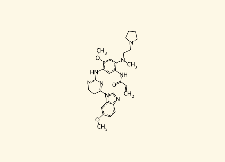 C=CC(=O)Nc1cc(NC2=NCCC(n3cnc4ccc(OC)cc43)=N2)c(OC)cc1N(C)CCN1CCCC1